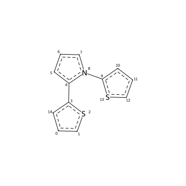 c1csc(-c2cccn2-c2cccs2)c1